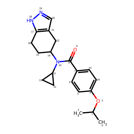 CC(C)Oc1ccc(C(=O)N(C2CC2)C2CCc3[nH]ncc3C2)cc1